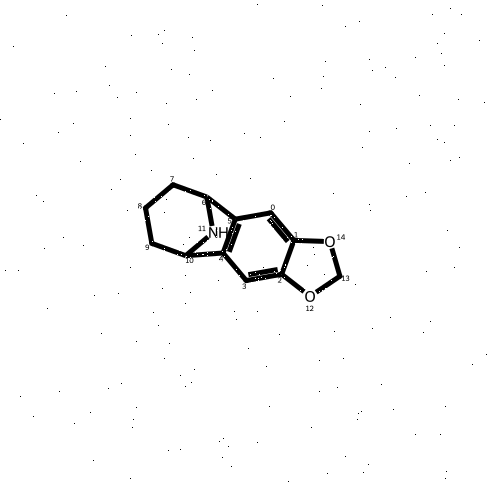 c1c2c(cc3c1C1CCCC3N1)OCO2